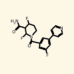 NC(=O)C1C(F)CCN(C(=O)c2cc(F)cc(-c3ccncc3)c2)C1F